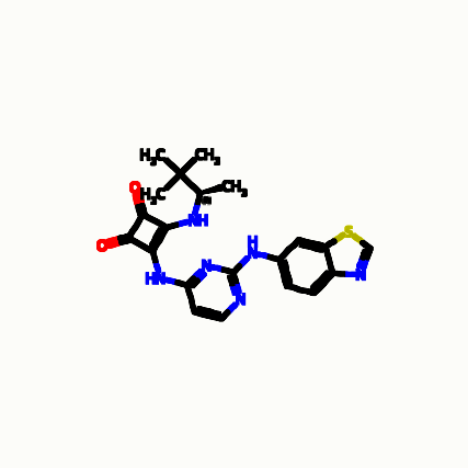 C[C@@H](Nc1c(Nc2ccnc(Nc3ccc4ncsc4c3)n2)c(=O)c1=O)C(C)(C)C